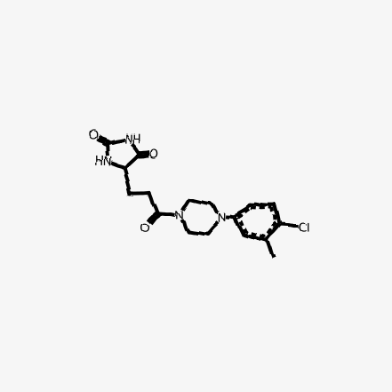 Cc1cc(N2CCN(C(=O)CCC3NC(=O)NC3=O)CC2)ccc1Cl